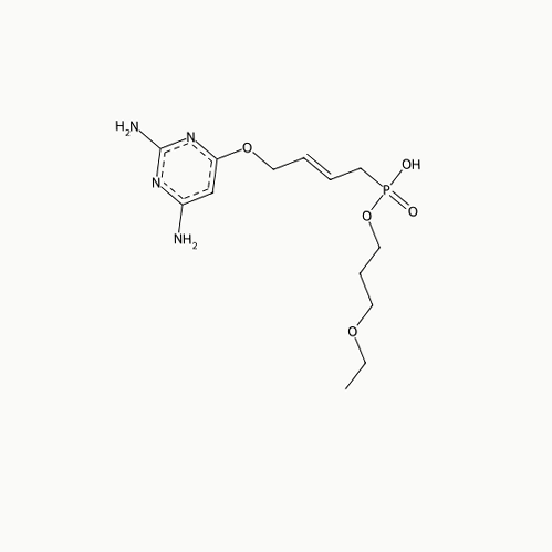 CCOCCCOP(=O)(O)C/C=C/COc1cc(N)nc(N)n1